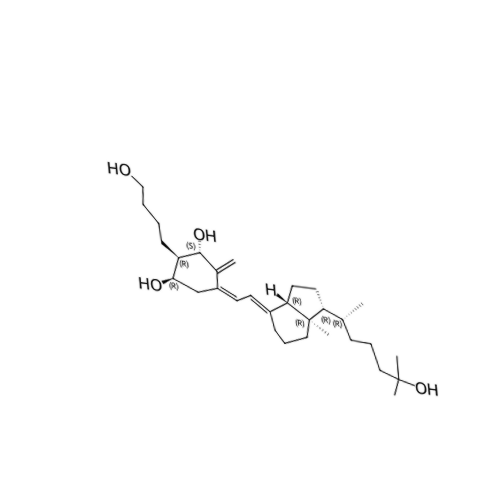 C=C1C(=CC=C2CCC[C@]3(C)[C@@H]([C@H](C)CCCC(C)(C)O)CC[C@@H]23)C[C@@H](O)[C@@H](CCCCO)[C@@H]1O